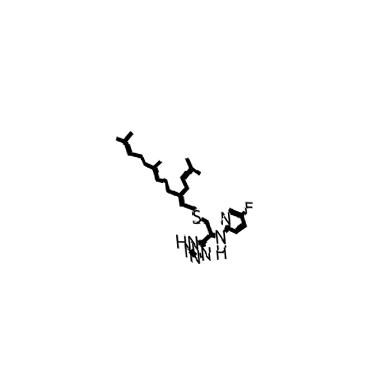 CC(C)=CCC/C(C)=C/CC/C(=C/CSCC(Nc1ccc(F)cn1)c1nnn[nH]1)CC=C(C)C